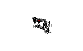 O=c1[nH]cnc2c1ncn2[C@@H]1O[C@@H]2COP(=O)(O)OC3C(O)[C@@H](COP(=O)(O)OC2C1O)O[C@H]3n1cnc2ccccc21